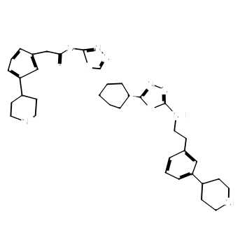 O=C(Cc1cccc(C2CCNCC2)c1)Nc1nnc([C@H]2CCC[C@H](c3nnc(NCCc4cccc(C5CCNCC5)c4)s3)C2)s1